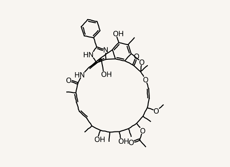 COC1/C=C\OC2(C)Oc3c(C)c(O)c4c(O)c(c5[nH]c(-c6ccccc6)nc5c4c3C2=O)NC(=O)/C(C)=C\C=C\C(C)C(O)C(C)C(O)C(C)C(OC(C)=O)C1C